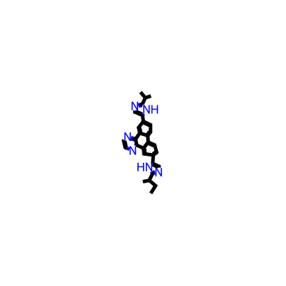 CCC(C)c1ncc(-c2ccc3c4ccc(-c5cnc(C(C)C)[nH]5)cc4c4nccnc4c3c2)[nH]1